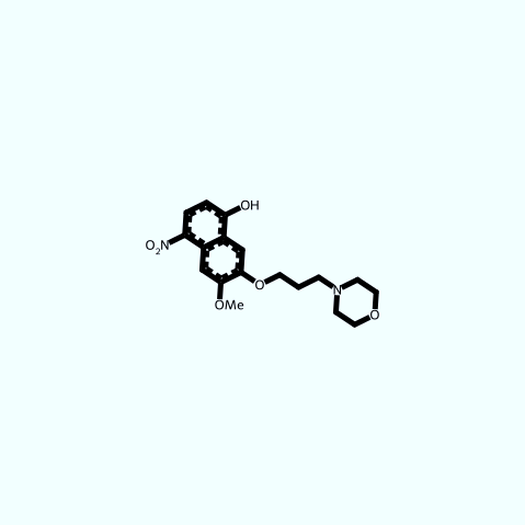 COc1cc2c([N+](=O)[O-])ccc(O)c2cc1OCCCN1CCOCC1